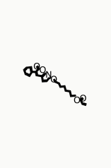 C=CC(=O)OCCCCCCCCOc1ccc2cc(-c3ccccc3)c(=O)oc2n1